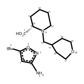 CC(C)(C)c1cc(N)no1.O=C(O)[C@@H]1CCCCN1CC1CCOCC1